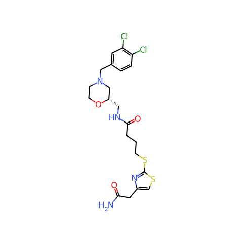 NC(=O)Cc1csc(SCCCC(=O)NC[C@H]2CN(Cc3ccc(Cl)c(Cl)c3)CCO2)n1